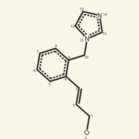 [O]CC=Cc1ccccc1Cn1ccnc1